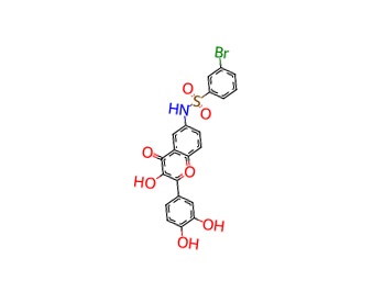 O=c1c(O)c(-c2ccc(O)c(O)c2)oc2ccc(NS(=O)(=O)c3cccc(Br)c3)cc12